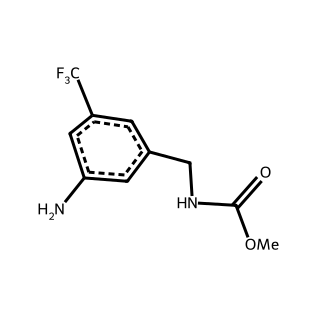 COC(=O)NCc1cc(N)cc(C(F)(F)F)c1